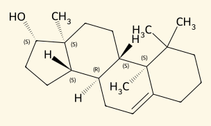 CC1(C)CCCC2=CC[C@H]3[C@@H]4CC[C@H](O)[C@@]4(C)CC[C@@H]3[C@]21C